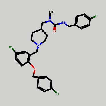 CN(CC1CCN(Cc2cc(Br)ccc2OCc2ccc(Cl)cc2)CC1)C(=O)NCc1ccc(F)cc1